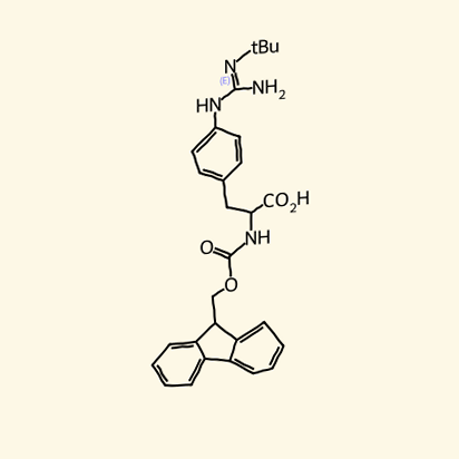 CC(C)(C)/N=C(\N)Nc1ccc(CC(NC(=O)OCC2c3ccccc3-c3ccccc32)C(=O)O)cc1